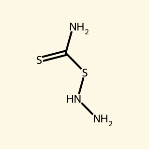 NNSC(N)=S